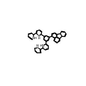 C1=CCNC(C2C=CC=C(c3cc(-c4ccc5c6c(cccc46)C4C=CC=CC54)cc(C4C=CC=C(C5C=CC=CN5)N4)c3)N2)=C1